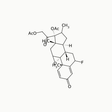 CC(=O)OCC(=O)[C@@]1(OC(C)=O)C(C)C[C@H]2[C@@H]3CC(F)C4=CC(=O)C=C[C@]4(C)[C@]34OC4C[C@@]21C